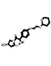 O=C(O)NC(C(=O)N1CC[C@H](O)C1)c1ccc(OCCOC2CCCCO2)cc1